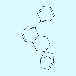 C1=C2CC(C1)C1(CCc3c(cccc3-c3ccccc3)C1)C2